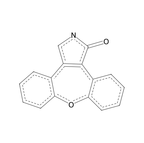 O=c1ncc2c3ccccc3oc3ccccc3c1=2